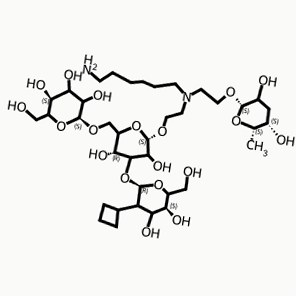 C[C@@H]1O[C@H](OCCN(CCCCCCN)CCO[C@H]2OC(CO[C@H]3OC(CO)[C@@H](O)C(O)C3O)[C@@H](O)C(O[C@H]3OC(CO)[C@@H](O)C(O)C3C3CCC3)C2O)C(O)C[C@@H]1O